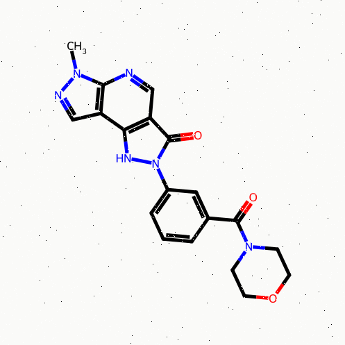 Cn1ncc2c3[nH]n(-c4cccc(C(=O)N5CCOCC5)c4)c(=O)c3cnc21